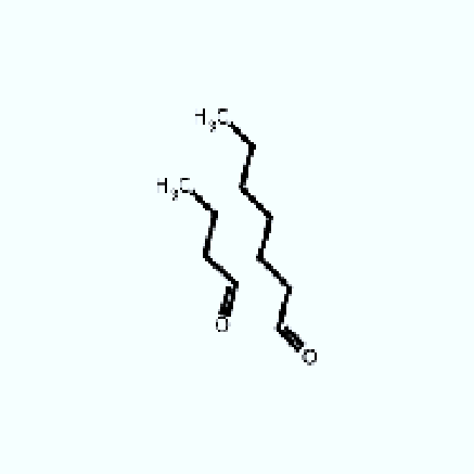 CCCC=O.CCCCCCC=O